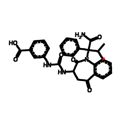 CC(C)C(C(N)=O)(c1ccccc1)N1C(=O)C(NC(=O)Nc2cccc(C(=O)O)c2)CC(=O)c2ccccc21